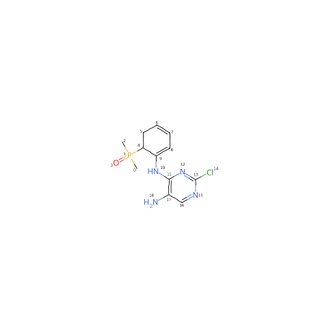 CP(C)(=O)C1CC=CC=C1Nc1nc(Cl)ncc1N